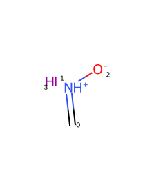 C=[NH+][O-].I